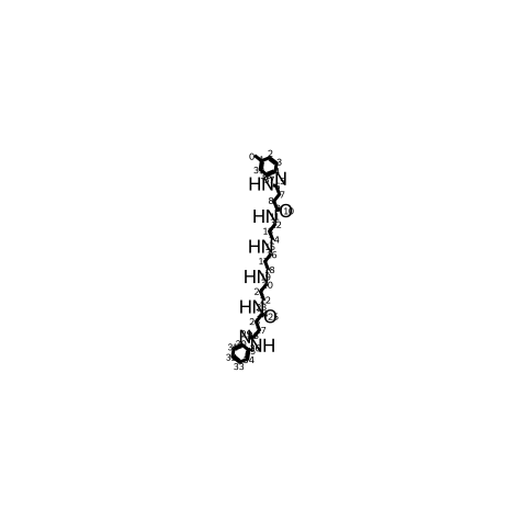 Cc1ccc2nc(CCC(=O)NCCCNCCCNCCCNC(=O)CCc3nc4ccccc4[nH]3)[nH]c2c1